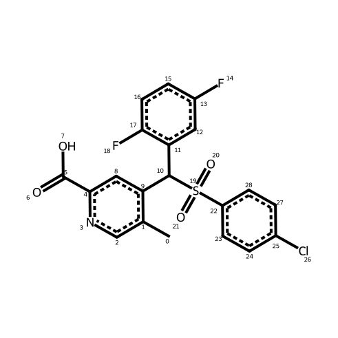 Cc1cnc(C(=O)O)cc1C(c1cc(F)ccc1F)S(=O)(=O)c1ccc(Cl)cc1